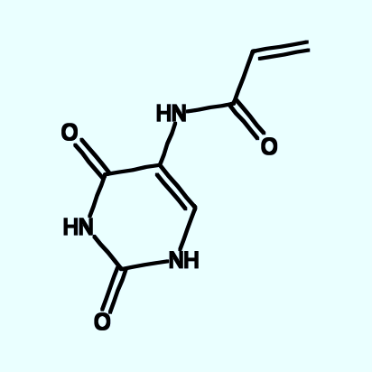 C=CC(=O)Nc1c[nH]c(=O)[nH]c1=O